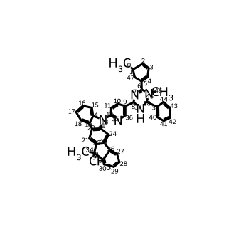 CC1C=CC=C(C2=NC(c3ccc(-n4c5ccccc5c5cc6c(cc54)-c4ccccc4C6(C)C)nc3)NC(c3ccccc3)N2C)C1